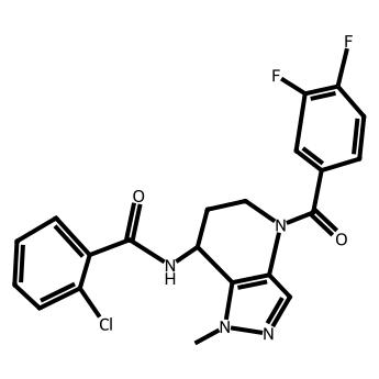 Cn1ncc2c1C(NC(=O)c1ccccc1Cl)CCN2C(=O)c1ccc(F)c(F)c1